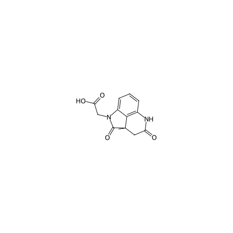 CC12CC(=O)Nc3cccc(c31)N(CC(=O)O)C2=O